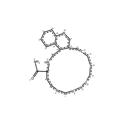 NC(=O)c1ccnccnccncccc2cnc3ccccc3c2c[nH]1